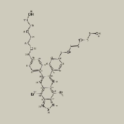 OCCOCCOCc1ccc(-c2nc3c(Br)c4nsnc4c(Br)c3nc2-c2ccc(COCCOCCO)cc2)cc1